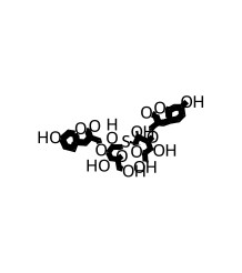 O=c1oc2cc(O)ccc2cc1COC1[C@@H](O)C(CO)O[C@@H](S[C@@H]2OC(CO)[C@H](O)C(OCc3cc4ccc(O)cc4oc3=O)[C@@H]2O)[C@@H]1O